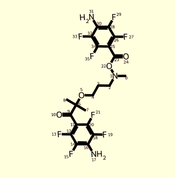 CN(CCCOC(C)(C)C(=O)c1c(F)c(F)c(N)c(F)c1F)OC(=O)c1c(F)c(F)c(N)c(F)c1F